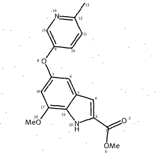 COC(=O)c1cc2cc(Oc3ccc(C)nc3)cc(OC)c2[nH]1